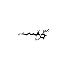 CCCCCCCCCCCCCCCC(=O)N1CCC[C@H]1C(=O)[O-].[Na+]